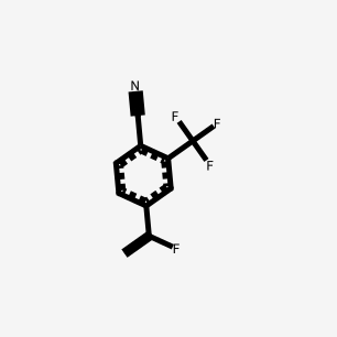 C=C(F)c1ccc(C#N)c(C(F)(F)F)c1